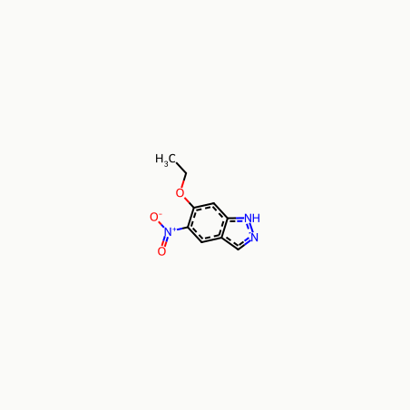 CCOc1cc2[nH]ncc2cc1[N+](=O)[O-]